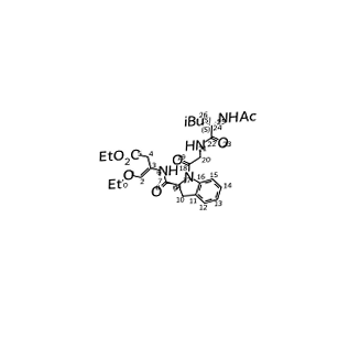 CCOC=C(CC(=O)OCC)NC(=O)[C@@H]1Cc2ccccc2N1C(=O)CNC(=O)[C@@H](NC(C)=O)[C@@H](C)CC